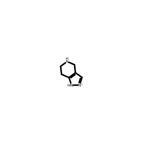 C1=[N+]NC2=C1CNCC2